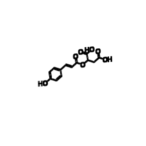 O=C(O)CC(OC(=O)C=Cc1ccc(O)cc1)C(=O)O